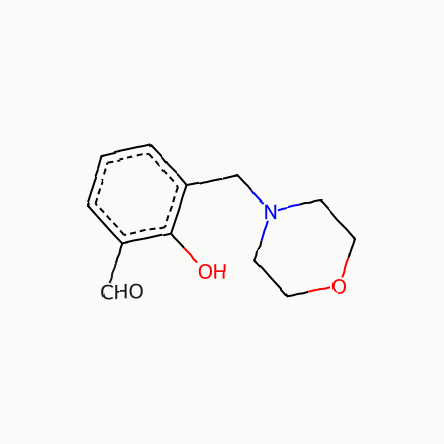 O=Cc1cccc(CN2CCOCC2)c1O